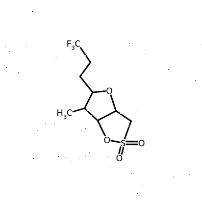 CC1C(CCC(F)(F)F)OC2CS(=O)(=O)OC21